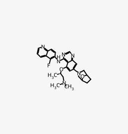 C[C@H](CN(C)C)Oc1cc(N2CC3CCC(C2)O3)cc2ncnc(Nc3ccc4ncccc4c3F)c12